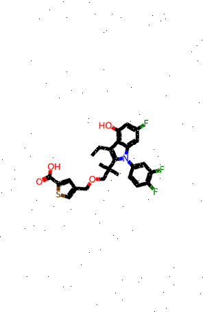 CCc1c(C(C)(C)COCc2csc(C(=O)O)c2)n(-c2ccc(F)c(F)c2)c2cc(F)cc(O)c12